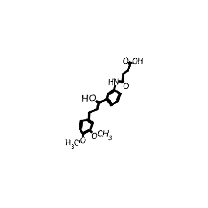 COc1ccc(CCC(O)c2cccc(NC(=O)CCC(=O)O)c2)cc1OC